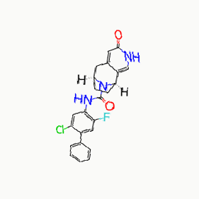 O=C(Nc1cc(Cl)c(-c2ccccc2)cc1F)N1[C@H]2CC[C@@H]1c1c[nH]c(=O)cc1C2